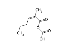 CCCC=C(C)C(=O)OC(=O)O